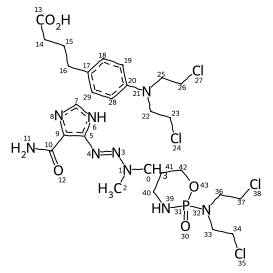 CN(C)/N=N/c1[nH]cnc1C(N)=O.O=C(O)CCCc1ccc(N(CCCl)CCCl)cc1.O=P1(N(CCCl)CCCl)NCCCO1